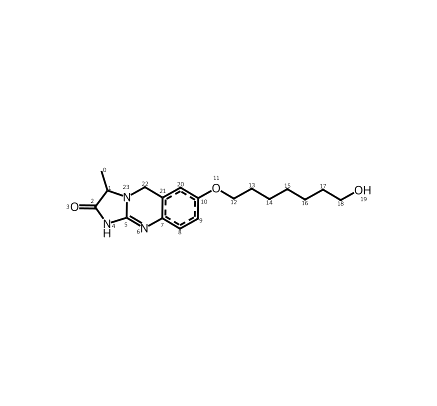 CC1C(=O)NC2=Nc3ccc(OCCCCCCCO)cc3CN21